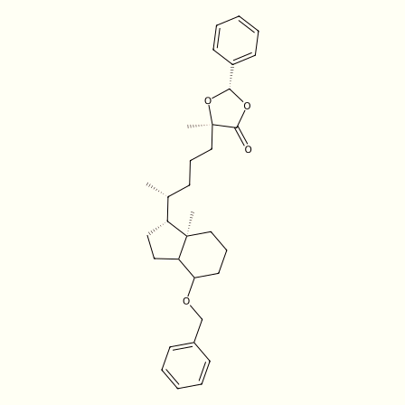 C[C@H](CCC[C@@]1(C)O[C@H](c2ccccc2)OC1=O)[C@H]1CCC2C(OCc3ccccc3)CCC[C@@]21C